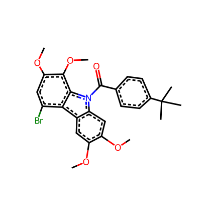 COc1cc2c3c(Br)cc(OC)c(OC)c3n(C(=O)c3ccc(C(C)(C)C)cc3)c2cc1OC